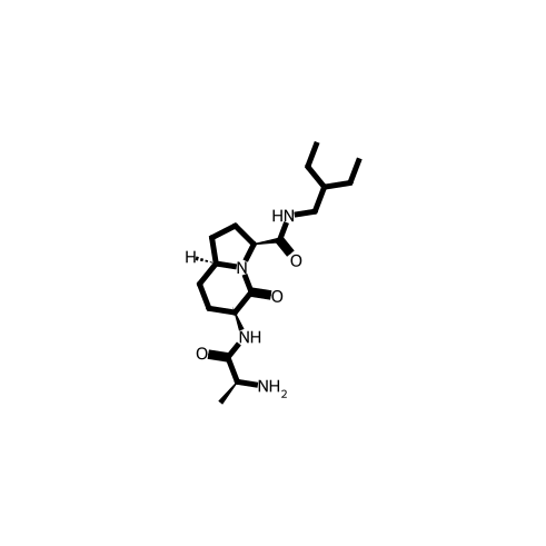 CCC(CC)CNC(=O)[C@@H]1CC[C@@H]2CC[C@H](NC(=O)[C@H](C)N)C(=O)N21